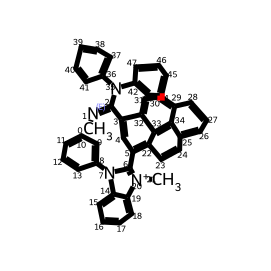 C/N=C(\c1cc(-c2n(-c3ccccc3)c3ccccc3[n+]2C)c2ccc3cccc4ccc1c2c43)N(c1ccccc1)c1ccccc1